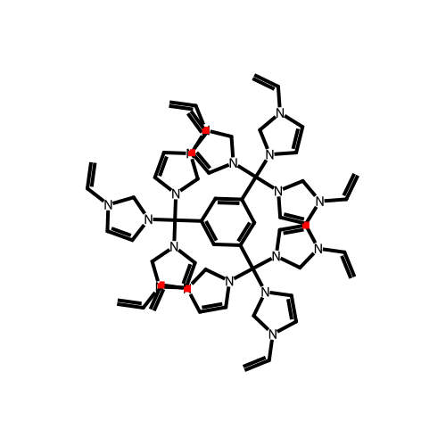 C=CN1C=CN(C(c2cc(C(N3C=CN(C=C)C3)(N3C=CN(C=C)C3)N3C=CN(C=C)C3)cc(C(N3C=CN(C=C)C3)(N3C=CN(C=C)C3)N3C=CN(C=C)C3)c2)(N2C=CN(C=C)C2)N2C=CN(C=C)C2)C1